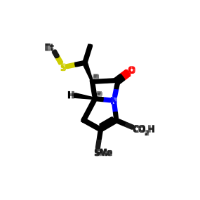 CCSC(C)[C@H]1C(=O)N2C(C(=O)O)=C(SC)C[C@H]12